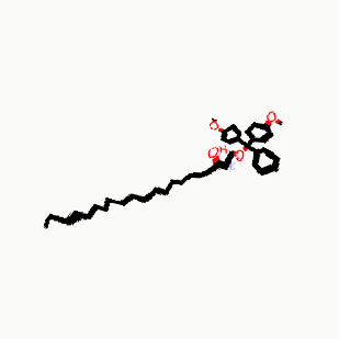 CCCCCCCCCCCCCCCCCC(O)/C=C/OC(c1ccccc1)(c1ccc(OC)cc1)c1ccc(OC)cc1